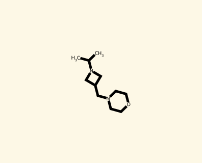 CC(C)N1CC(CN2CCOCC2)C1